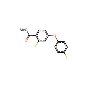 COC(=O)c1ccc(Oc2ccc(F)cc2)cc1F